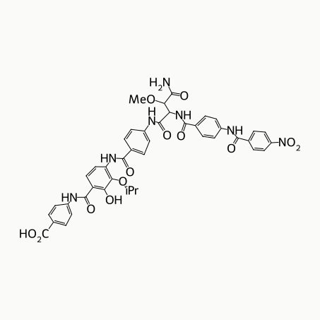 COC(C(N)=O)C(NC(=O)c1ccc(NC(=O)c2ccc([N+](=O)[O-])cc2)cc1)C(=O)Nc1ccc(C(=O)Nc2ccc(C(=O)Nc3ccc(C(=O)O)cc3)c(O)c2OC(C)C)cc1